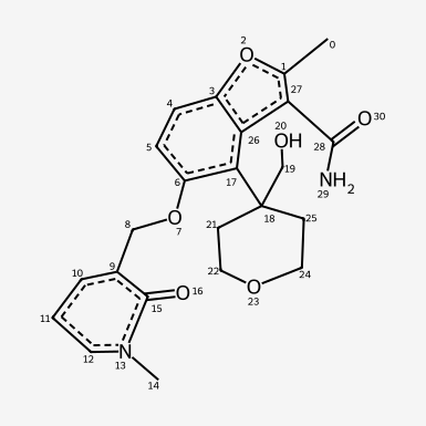 Cc1oc2ccc(OCc3cccn(C)c3=O)c(C3(CO)CCOCC3)c2c1C(N)=O